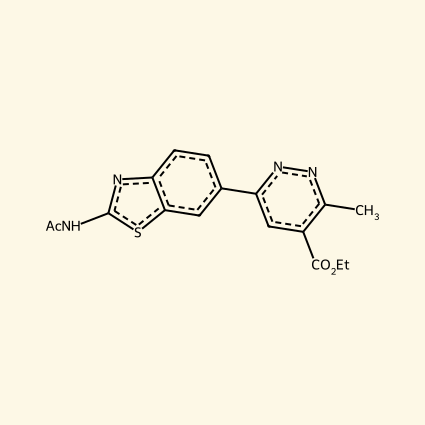 CCOC(=O)c1cc(-c2ccc3nc(NC(C)=O)sc3c2)nnc1C